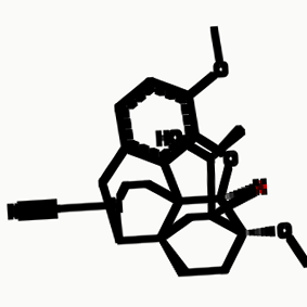 COc1ccc2c3c1O[C@@H]1C34CCN(C#N)C(C2)[C@]42CC[C@@]1(OC)[C@@H]([C@H](C)O)C2